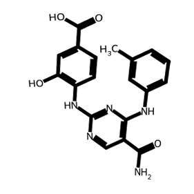 Cc1cccc(Nc2nc(Nc3ccc(C(=O)O)cc3O)ncc2C(N)=O)c1